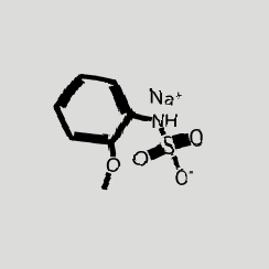 COc1ccccc1NS(=O)(=O)[O-].[Na+]